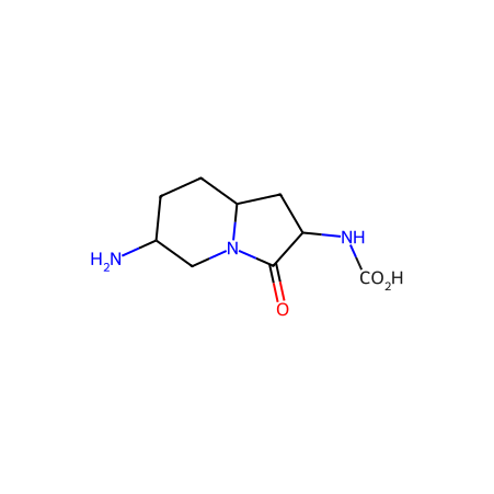 NC1CCC2CC(NC(=O)O)C(=O)N2C1